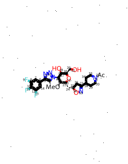 CO[C@@H]1[C@@H](n2cc(-c3cc(F)c(F)c(F)c3)nn2)[C@@H](O)[C@@H](CO)O[C@@H]1C[C@@H]1CC(C2CCN(C(C)=O)CC2)=NO1